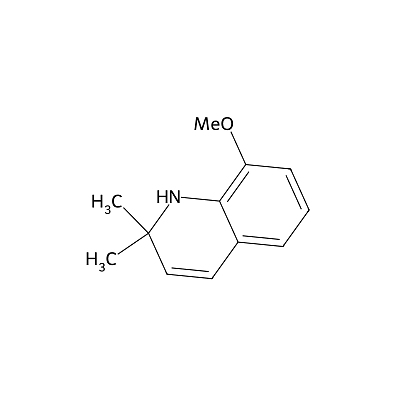 COc1cccc2c1NC(C)(C)C=C2